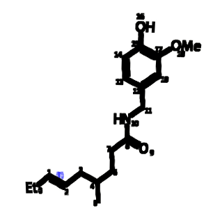 CC/C=C/CC(C)CCC(=O)NCc1ccc(O)c(OC)c1